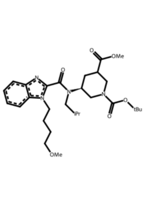 COCCCCn1c(C(=O)N(CC(C)C)[C@H]2CC(C(=O)OC)CN(C(=O)OC(C)(C)C)C2)nc2ccccc21